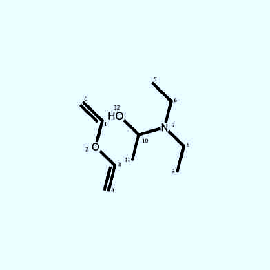 C=COC=C.CCN(CC)C(C)O